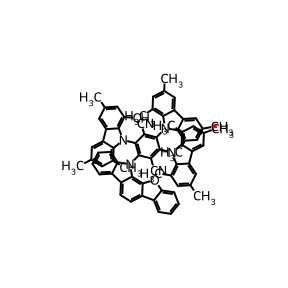 Cc1cc(C)c2c(c1)c1cc(C)cc(C)c1n2-c1c(C#N)c(-n2c3c(C)cc(C)cc3c3cc(C)cc(C)c32)c(-n2c3ccccc3c3ccc4c5ccccc5oc4c32)c(C#N)c1-n1c2c(C)cc(C)cc2c2cc(C)cc(C)c21